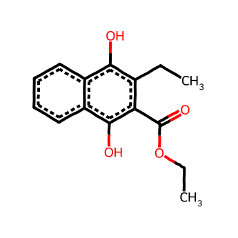 CCOC(=O)c1c(CC)c(O)c2ccccc2c1O